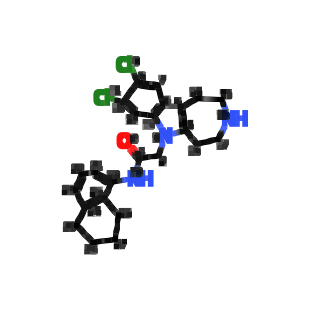 O=C(Cn1c2c(c3cc(Cl)c(Cl)cc31)CCNCC2)Nc1cccc2c1CCCC2